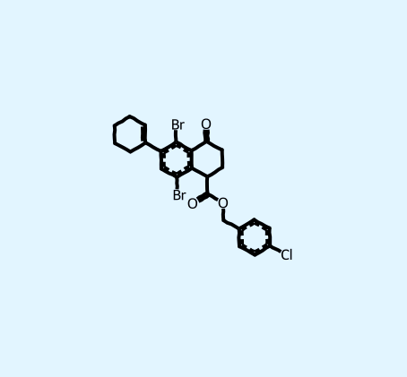 O=C1CCC(C(=O)OCc2ccc(Cl)cc2)c2c(Br)cc(C3=CCCCC3)c(Br)c21